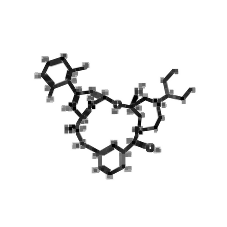 CCC(CC)N1CCN2C[C@@H](C1)Oc1cc(-c3c(C)cccc3C)nc(n1)NSc1cccc(c1)C2=O